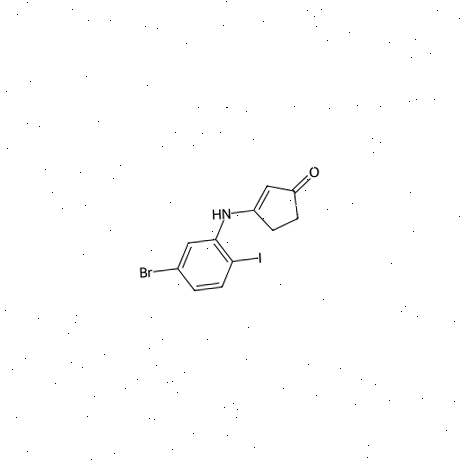 O=C1C=C(Nc2cc(Br)ccc2I)CC1